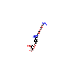 NCCOCCOCCOCCN/C=C(\NN)c1ccc(CCOC2CC(O)CC(CO)O2)cc1